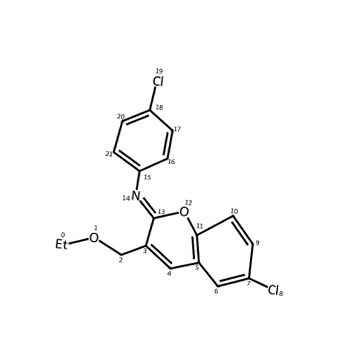 CCOCc1cc2cc(Cl)ccc2oc1=Nc1ccc(Cl)cc1